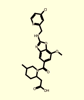 COc1cc(C(=O)N2CC(C)CCC2CC(=O)O)cc2nc(NCc3cc(Cl)ccn3)oc12